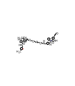 Cc1ccc(CNC(=O)C2CCCN2C(=O)C(NC(=O)CCOCCOCCOCCOCCNCc2ccc(N/C(=C3\C(=O)Nc4cc(C#CC=O)ccc43)c3ccccc3)cc2)C(C)(C)C)cc1